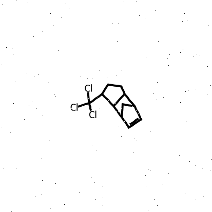 ClC(Cl)(Cl)C1CCC2C3C=CC(C3)C21